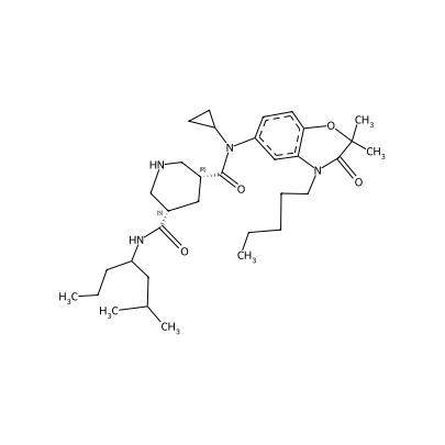 CCCCCN1C(=O)C(C)(C)Oc2ccc(N(C(=O)[C@H]3CNC[C@@H](C(=O)NC(CCC)CC(C)C)C3)C3CC3)cc21